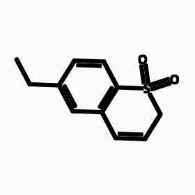 CCc1ccc2c(c1)C=CCS2(=O)=O